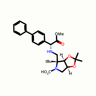 COC(=O)[C@H](NC[C@]1(C(C)(C)C)[C@H]2OC(C)(C)O[C@H]2CN1C(=O)O)c1ccc(-c2ccccc2)cc1